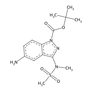 CN(c1nn(C(=O)OC(C)(C)C)c2ccc(N)cc12)S(C)(=O)=O